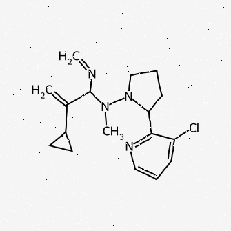 C=NC(C(=C)C1CC1)N(C)N1CCCC1c1ncccc1Cl